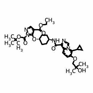 CCOC(=O)c1cnn(C(=O)OC(C)(C)C)c1O[C@H]1CC[C@H](NC(=O)c2ncn3c(C4CC4)c(OCC(C)(C)O)ccc23)CC1